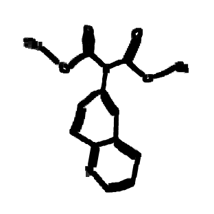 CC(C)(C)OC(=O)N(C(=O)OC(C)(C)C)c1ccc2ncccc2c1